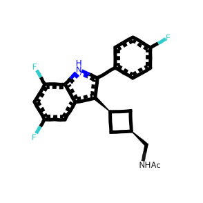 CC(=O)NC[C@H]1C[C@@H](c2c(-c3ccc(F)cc3)[nH]c3c(F)cc(F)cc32)C1